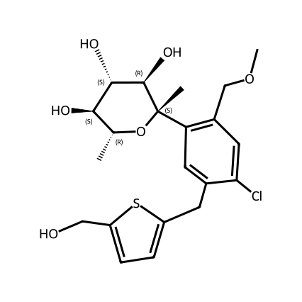 COCc1cc(Cl)c(Cc2ccc(CO)s2)cc1[C@]1(C)O[C@H](C)[C@@H](O)[C@H](O)[C@H]1O